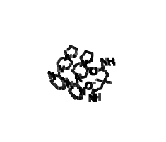 CC(C)(CC(=N)[O-])CC(=N)[O-].c1cnc(N2CC[N+]3(CCCC3)CC2)nc1.c1cnc(N2CC[N+]3(CCCC3)CC2)nc1